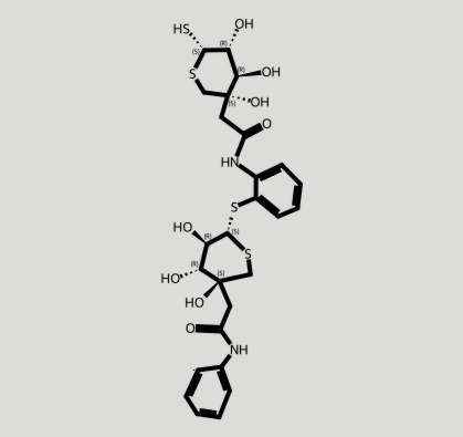 O=C(C[C@@]1(O)CS[C@@H](Sc2ccccc2NC(=O)C[C@@]2(O)CS[C@H](S)[C@H](O)[C@H]2O)[C@H](O)[C@H]1O)Nc1[c]cccc1